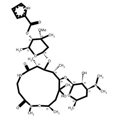 CO[C@]1(C)C[C@H](OC2[C@@H](C)C(=O)NCCC(=O)N(C)C[C@H](C)CC(C)(O)[C@H](O[C@@H]3O[C@H](C)C[C@H](N(C)C)[C@H]3O)[C@H]2C)O[C@@H](C)[C@@H]1OC(=O)c1ccc[nH]1